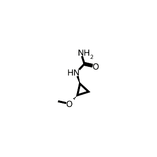 CO[C@H]1C[C@@H]1NC(N)=O